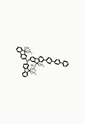 CC1(C)c2ccccc2-c2ccc(N(c3ccc4c(c3)C(C)(C)c3ccccc3-4)c3ccc4c(c3)C(C)(C)c3cc(-c5ccc(-c6ccc(-c7ccccc7)cc6)cc5)ccc3-4)cc21